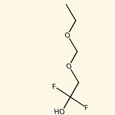 CCOCOCC(O)(F)F